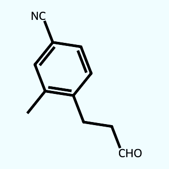 Cc1cc(C#N)ccc1CCC=O